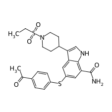 CCS(=O)(=O)N1CCC(c2c[nH]c3c(C(N)=O)cc(Sc4ccc(C(C)=O)cc4)cc23)CC1